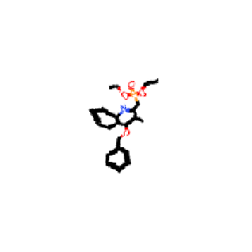 CCOP(=O)(Cc1nc2ccccc2c(OCc2ccccc2)c1C)OCC